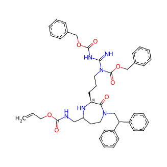 C=CCOC(=O)NCC1CCN(CC(c2ccccc2)c2ccccc2)C(=O)[C@H](CCCN(C(=N)NC(=O)OCc2ccccc2)C(=O)OCc2ccccc2)N1